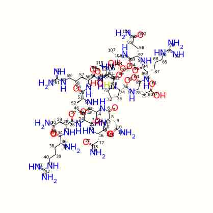 CC(C)C[C@H](NC(=O)[C@H](CC(N)=O)NC(=O)[C@H](CC(N)=O)NC(=O)[C@@H](NC(=O)[C@H](CC(N)=O)NC(=O)[C@@H](N)CCCNC(=N)N)C(C)C)C(=O)N[C@@H](C)C(=O)N[C@@H](CCCNC(=N)N)C(=O)N[C@H](C(=O)N1CCC[C@H]1C(=O)N[C@@H](CC(=O)O)C(=O)N[C@@H](CCCNC(=N)N)C(=O)N[C@@H](CCC(N)=O)C(=O)N[C@@H](C)C(=O)N[C@@H](CS)C(=O)O)[C@@H](C)O